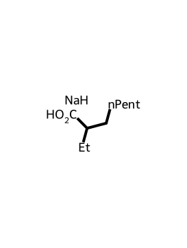 CCCCCCC(CC)C(=O)O.[NaH]